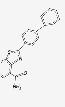 NC(=O)c1cccc2sc(-c3ccc(-c4ccccc4)cc3)nc12